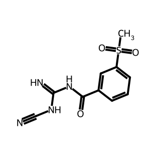 CS(=O)(=O)c1cccc(C(=O)NC(=N)NC#N)c1